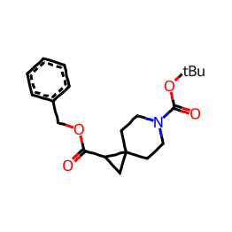 CC(C)(C)OC(=O)N1CCC2(CC1)CC2C(=O)OCc1ccccc1